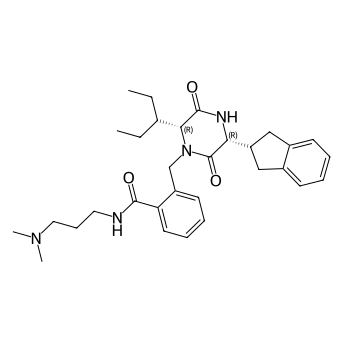 CCC(CC)[C@@H]1C(=O)N[C@H](C2Cc3ccccc3C2)C(=O)N1Cc1ccccc1C(=O)NCCCN(C)C